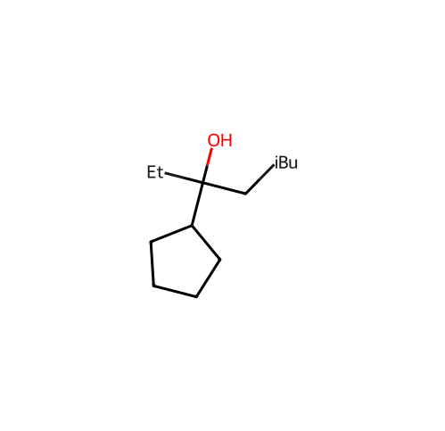 CCC(C)CC(O)(CC)C1CCCC1